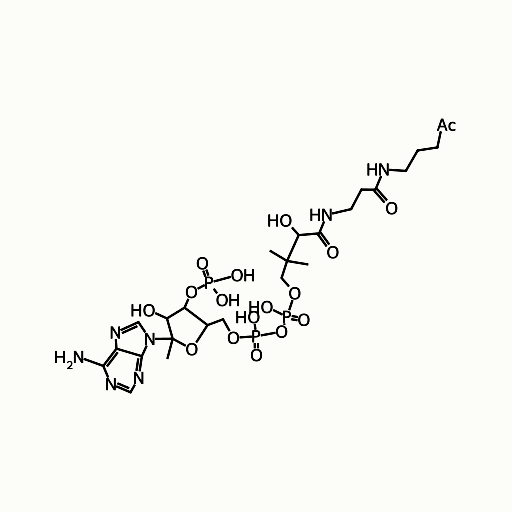 CC(=O)CCCNC(=O)CCNC(=O)C(O)C(C)(C)COP(=O)(O)OP(=O)(O)OCC1OC(C)(n2cnc3c(N)ncnc32)C(O)C1OP(=O)(O)O